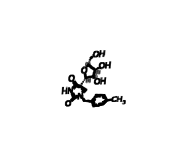 Cc1ccc(Cn2cc([C@@H]3O[C@H](CO)[C@@H](O)[C@H]3O)c(=O)[nH]c2=O)cc1